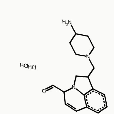 Cl.Cl.NC1CCN(CC2CN3c4c(cccc42)C=CC3C=O)CC1